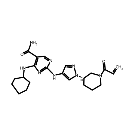 C=CC(=O)N1CCC[C@H](n2cc(Nc3ncc(C(N)=O)c(NC4CCCCC4)n3)cn2)C1